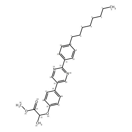 CCCCCCCCc1ccc(-c2ncc(-c3ccc(OC(C)C(=O)OC)cc3)cn2)cc1